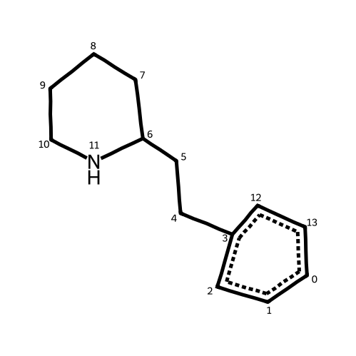 c1ccc(CCC2CCCCN2)cc1